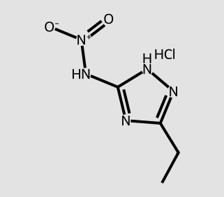 CCc1n[nH]c(N[N+](=O)[O-])n1.Cl